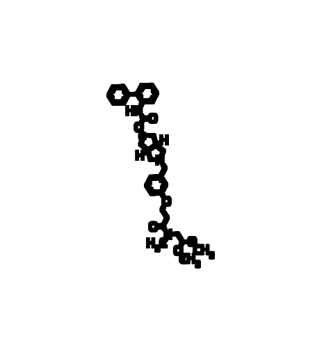 COC(CN(C)C(=O)CCOc1cccc(CN2C[C@H]3C[C@H](OC(=O)Nc4ccccc4-c4ccccc4)C[C@H]3C2)c1)OC